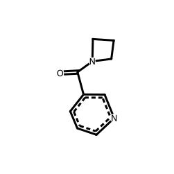 O=C(c1cccnc1)N1CCC1